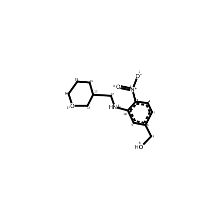 O=[N+]([O-])c1ccc(CO)cc1NCC1CCCOC1